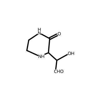 O=CC(O)C1NCCNC1=O